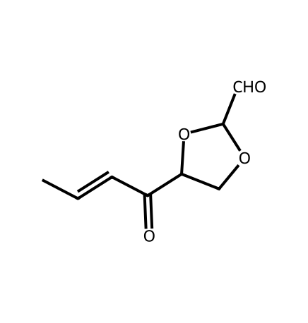 CC=CC(=O)C1COC(C=O)O1